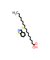 CCCCCCCCCCCCCCCCCC(=O)O.Sc1nsc2ccccc12